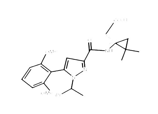 COc1cccc(OC)c1-c1cc(C(=O)N[C@@]2(CC(=O)O)CC2(C)C)nn1C(C)C(C)C